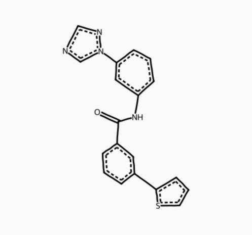 O=C(Nc1cccc(-n2cncn2)c1)c1cccc(-c2cccs2)c1